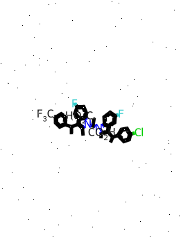 Cc1c(C(C)c2ccc(Cl)cc2)c2cc(F)ccc2n1C(CC(=O)O)(C(=O)O)n1c(C)c(C(C)c2ccc(C(F)(F)F)cc2)c2cc(F)ccc21